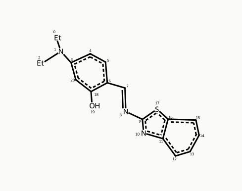 CCN(CC)c1ccc(/C=N/c2nc3ccccc3s2)c(O)c1